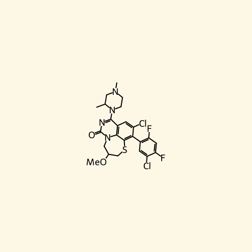 COC1CSc2c(-c3cc(Cl)c(F)cc3F)c(Cl)cc3c(N4CCN(C)CC4C)nc(=O)n(c23)C1